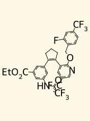 CCOC(=O)c1cc(NC(=O)C(F)(F)F)cc(C2=C(c3cc(C(F)(F)F)cnc3OCc3ccc(C(F)(F)F)cc3F)CCC2)c1